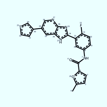 Cc1ccc(C(=O)Nc2ccc(F)c(-c3nc4ncc(-c5ccsc5)cc4[nH]3)c2)o1